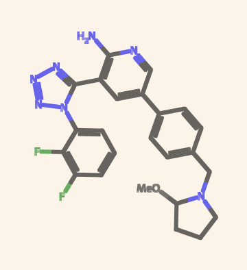 COC1CCCN1Cc1ccc(-c2cnc(N)c(-c3nnnn3-c3cccc(F)c3F)c2)cc1